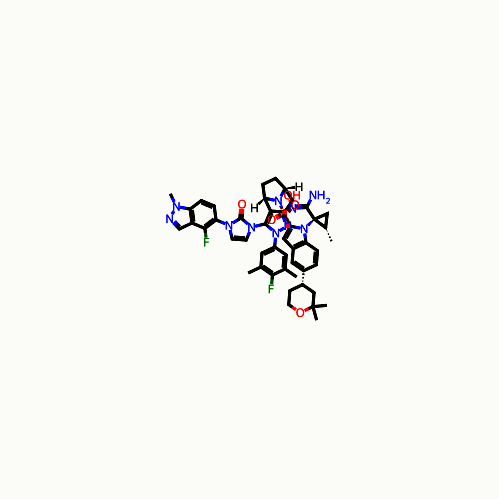 Cc1cc(-n2nc3c(c2-n2ccn(-c4ccc5c(cnn5C)c4F)c2=O)[C@@H]2CC[C@H](C3)N2S(=O)(=O)c2cc3cc([C@H]4CCOC(C)(C)C4)ccc3n2[C@@]2(C(N)=NO)C[C@@H]2C)cc(C)c1F